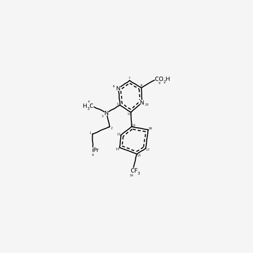 CC(C)CCN(C)c1ncc(C(=O)O)nc1-c1ccc(C(F)(F)F)cc1